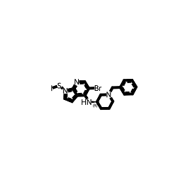 Brc1cnc2c(ccn2SI)c1N[C@@H]1CCCN(Cc2ccccc2)C1